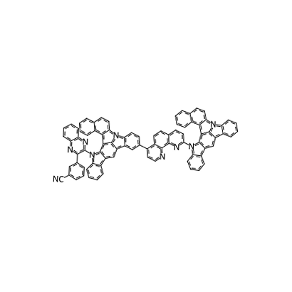 N#Cc1cccc(-c2nc3ccccc3nc2-n2c3ccccc3c3cc4c5cc(-c6ccnc7c6ccc6ccc(-n8c9ccccc9c9cc%10c%11ccccc%11n%11c%12ccc%13ccccc%13c%12c(c98)c%10%11)nc67)ccc5n5c6ccc7ccccc7c6c(c32)c45)c1